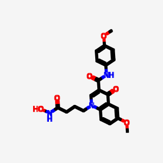 COc1ccc(NC(=O)c2cn(CCCC(=O)NO)c3ccc(OC)cc3c2=O)cc1